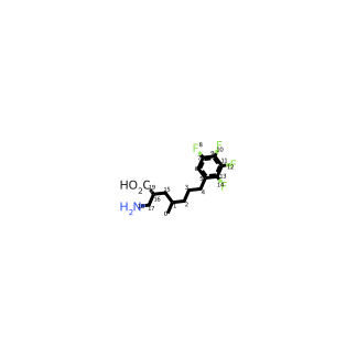 CC(CCCc1cc(F)c(F)c(F)c1F)CC(CN)C(=O)O